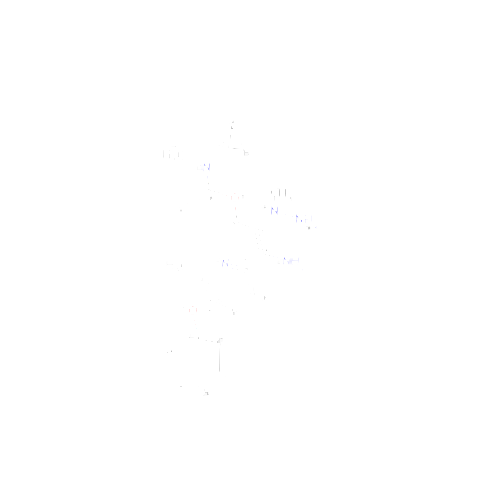 Cc1nc(/C(N)=C(\COC(=O)N(C)C2CC2)N(C)N)ccc1OC1CCCCC1